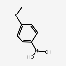 CSc1ccc(N(O)O)cc1